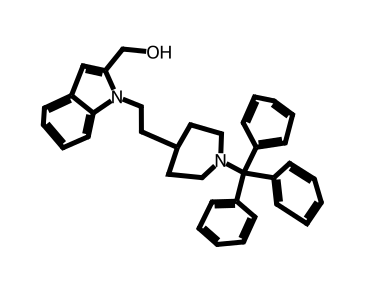 OCc1cc2ccccc2n1CCC1CCN(C(c2ccccc2)(c2ccccc2)c2ccccc2)CC1